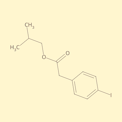 CC(C)COC(=O)Cc1ccc(I)cc1